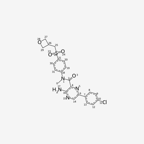 CN(C(=O)c1nc(-c2ccc(Cl)cc2)cnc1N)c1ccc(S(=O)(=O)CC2COC2)cc1